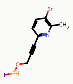 Cc1nc(C#CCOPI)ccc1Br